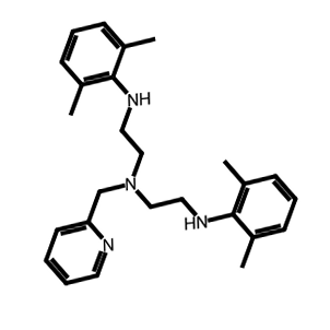 Cc1cccc(C)c1NCCN(CCNc1c(C)cccc1C)Cc1ccccn1